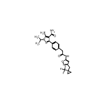 CC(C)n1nc(-c2ccc(CC(=O)Nc3cc(CC4(C(F)(F)F)CC4)no3)cc2)c(C(N)=O)c1N